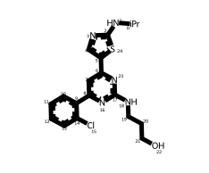 CC(C)Nc1ncc(-c2cc(-c3ccccc3Cl)nc(NCCCO)n2)s1